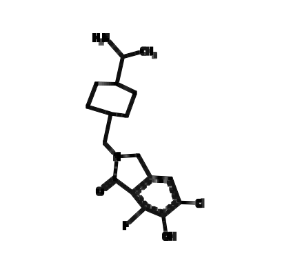 CC(N)C1CCC(CN2Cc3cc(Cl)c(O)c(F)c3C2=O)CC1